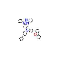 C1=Cc2c(nc3n(-c4ccccc4)c4ccc(N(c5ccc(-c6ccccc6)cc5)c5ccc(-c6cccc7c6oc6ccccc67)cc5)cc4n23)CC1